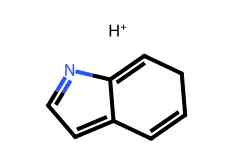 C1=CC2=CC=NC2=CC1.[H+]